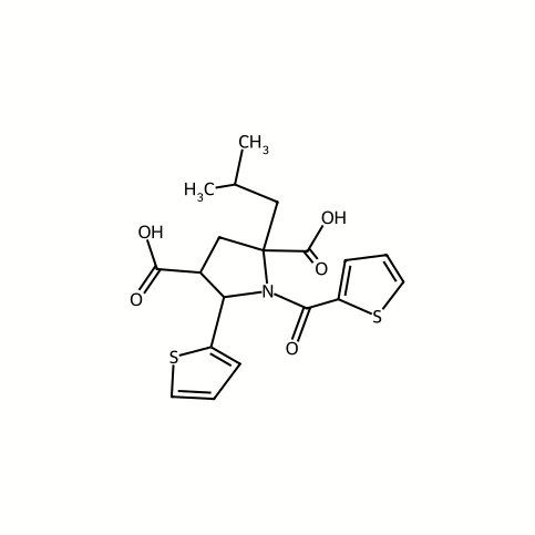 CC(C)CC1(C(=O)O)CC(C(=O)O)C(c2cccs2)N1C(=O)c1cccs1